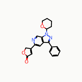 O=C1C=C(c2cc3c(-c4ccccc4)nn(C4CCCCO4)c3cn2)CO1